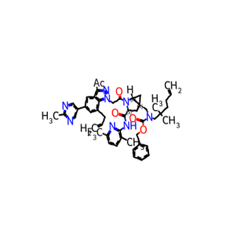 C=CCCC(C)(C)CN(C[C@@]12C[C@@H](C(=O)Nc3nc(C(F)(F)F)ccc3C)N(C(=O)Cn3nc(C(C)=O)c4cc(-c5cnc(C)nc5)cc(CC=C)c43)[C@@H]1C2)C(=O)OCc1ccccc1